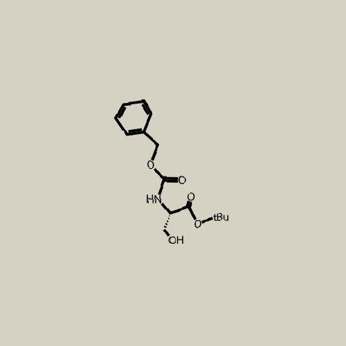 CC(C)(C)OC(=O)[C@H](CO)NC(=O)OCc1ccccc1